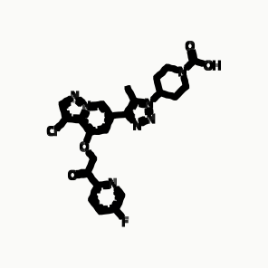 Cc1c(-c2cc(OCC(=O)c3ccc(F)cn3)c3c(Cl)cnn3c2)nnn1C1CCN(C(=O)O)CC1